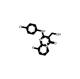 O=c1c(CO)c(Nc2ccc(Cl)cc2)nc2c(F)cccn12